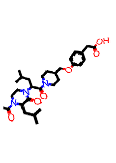 CC(=O)N1CCN(C(CC(C)C)C(=O)N2CCC(COc3ccc(CC(=O)O)cc3)CC2)C(=O)C1CC(C)C